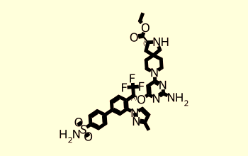 CCOC(=O)[C@@H]1CC2(CCN(c3cc(O[C@H](c4ccc(-c5ccc(S(N)(=O)=O)cc5)cc4-n4ccc(C)n4)C(F)(F)F)nc(N)n3)CC2)CN1